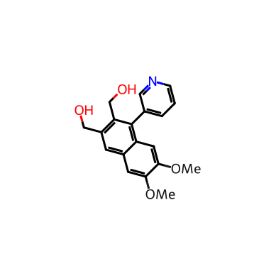 COc1cc2cc(CO)c(CO)c(-c3cccnc3)c2cc1OC